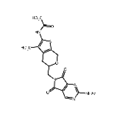 CC(=O)Nc1ncc2c(n1)C(=O)N(CC1Cc3c(sc(NC(=O)C(=O)O)c3C(=O)O)CO1)C2=O